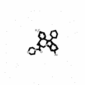 CC(=O)c1ccc2c(C3CCCCC3)c3n(c2c1)CC1(C(=O)N2CCOCC2)CC1c1cc(C)ccc1-3